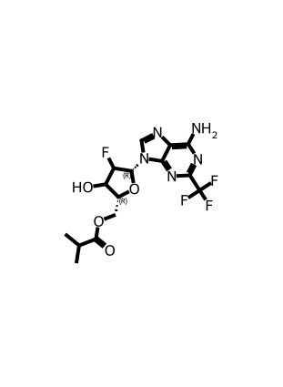 CC(C)C(=O)OC[C@H]1O[C@@H](n2cnc3c(N)nc(C(F)(F)F)nc32)C(F)C1O